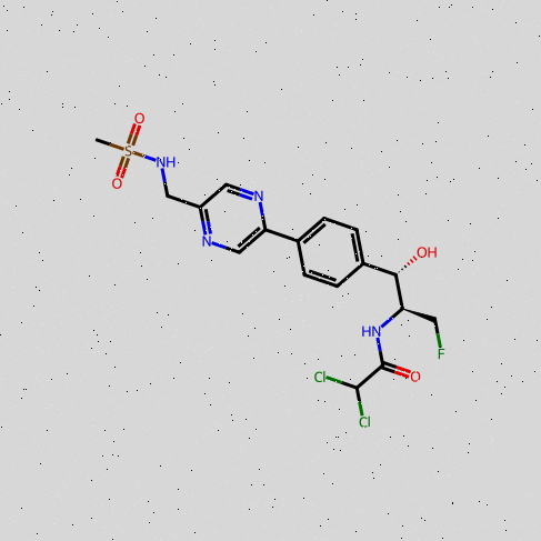 CS(=O)(=O)NCc1cnc(-c2ccc([C@H](O)[C@@H](CF)NC(=O)C(Cl)Cl)cc2)cn1